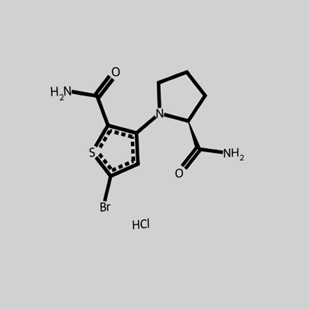 Cl.NC(=O)c1sc(Br)cc1N1CCC[C@H]1C(N)=O